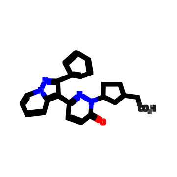 O=C(O)CC1CCC(n2nc(-c3c(-c4ccccc4)nn4ccccc34)ccc2=O)C1